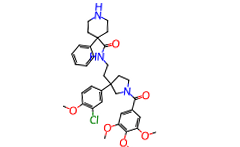 COc1ccc(C2(CCNC(=O)C3(c4ccccc4)CCNCC3)CCN(C(=O)c3cc(OC)c(OC)c(OC)c3)C2)cc1Cl